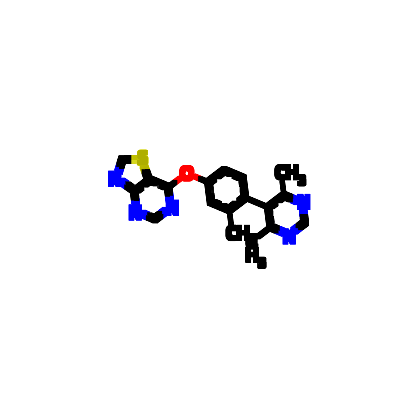 Cc1cc(Oc2ncnc3ncsc23)ccc1-c1c(C)ncnc1C